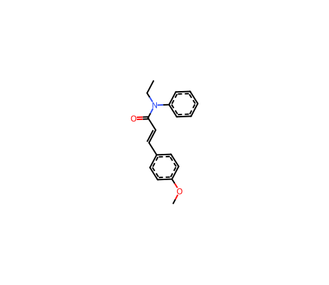 CCN(C(=O)/C=C/c1ccc(OC)cc1)c1ccccc1